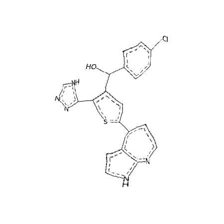 OC(c1ccc(Cl)cc1)c1cc(-c2ccnc3[nH]ccc23)sc1-c1nnc[nH]1